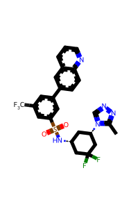 Cc1nncn1[C@H]1C[C@@H](NS(=O)(=O)c2cc(-c3ccc4ncccc4c3)cc(C(F)(F)F)c2)CC(F)(F)C1